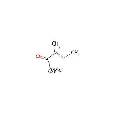 [CH2]C(=CC)C(=O)OC